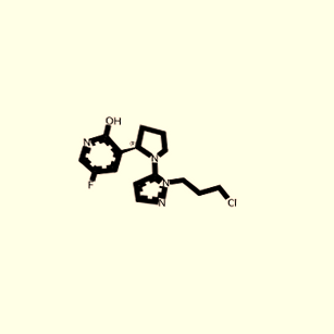 Oc1ncc(F)cc1[C@H]1CCCN1c1ccnn1CCCCl